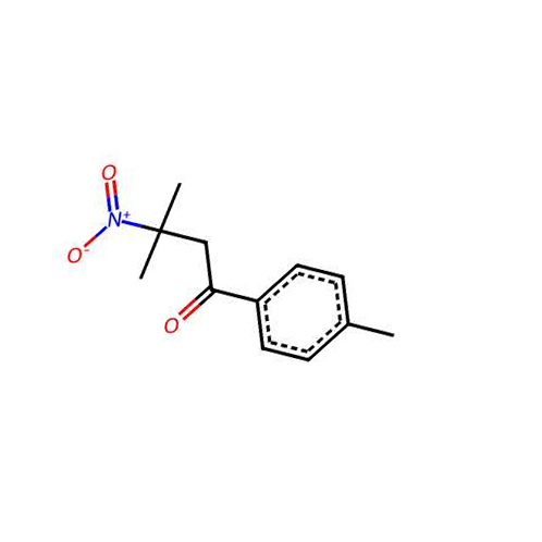 Cc1ccc(C(=O)CC(C)(C)[N+](=O)[O-])cc1